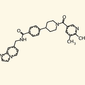 Cc1cc(C(=O)N2CCC(c3ccc(C(=O)NCc4ccn5ccnc5c4)cc3)CC2)cnc1C